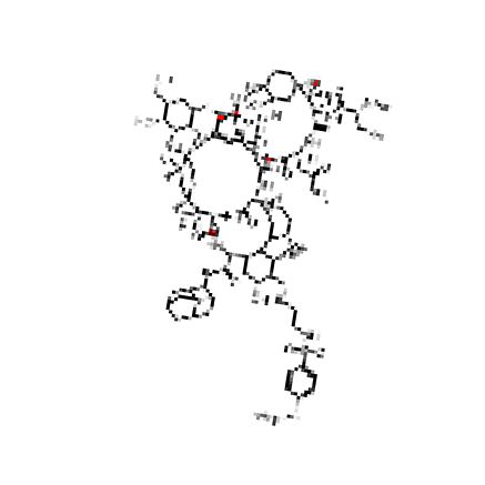 CCCCCCCOc1ccc(S(=O)(=O)NCCNCC2[C@H](O)C3C4C[C@H](CC[C@H]4O)[C@H]4NC(=O)[C@@H]5NC(=O)[C@H](CC(N)=O)NC(=O)[C@H](NC(=O)[C@@H](CC(C)C)NC)[C@H](O)[C@H]6CC[C@@H](Oc7cc5cc(c7O[C@@H]5C[C@H](CO)[C@@H](O)[C@H](O)[C@H]5O[C@H]5C[C@H](N)[C@H](O)[C@H](C)O5)O[C@@H]5CC[C@@H](C[C@@H]5Cl)[C@@H](O)[C@H](NC4=O)C(=O)N[C@H](C(=O)NC4C5CC7CC(C5)CC4C7)C3C[C@@H]2O)[C@H](Cl)C6)cc1